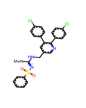 CN/C(=N\S(=O)(=O)c1ccccc1)NCc1cnc(-c2ccc(Cl)cc2)c(-c2ccc(Cl)cc2)c1